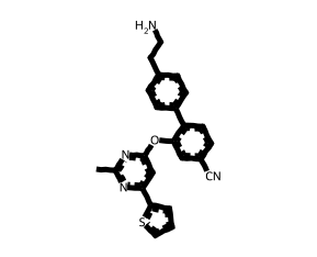 Cc1nc(Oc2cc(C#N)ccc2-c2ccc(CCN)cc2)cc(-c2cccs2)n1